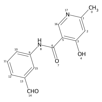 Cc1cc(O)c(C(=O)Nc2cccc(C=O)c2)cn1